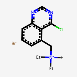 CC[N+](CC)(CC)Cc1cccc2ncnc(Cl)c12.[Br-]